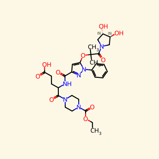 CCOC(=O)N1CCN(C(=O)C(CCC(=O)O)NC(=O)c2cc(OC(C)(C)C(=O)N3C[C@H](O)[C@@H](O)C3)n(-c3ccccc3)n2)CC1